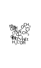 CCOc1cc([C@@H](C)N(CCO[C@@H](C)c2ccccc2)C(=O)N[C@]2(C(=O)OC(C)(C)C)C[C@@H](OCC)C2)cc(OCC)c1C(C)O